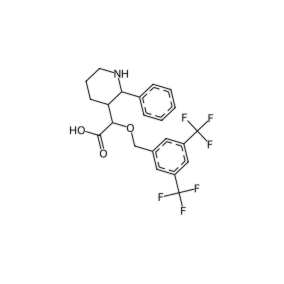 O=C(O)C(OCc1cc(C(F)(F)F)cc(C(F)(F)F)c1)C1CCCNC1c1ccccc1